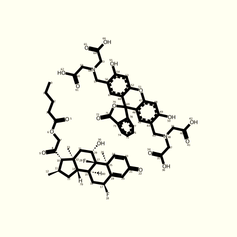 CCCCC(=O)OCC(=O)[C@H]1[C@H](C)C[C@H]2[C@@H]3C[C@H](F)C4=CC(=O)C=C[C@]4(C)[C@@]3(F)[C@@H](O)C[C@@]21C.O=C(O)CN(CC(=O)O)Cc1cc2c(cc1O)Oc1cc(O)c(CN(CC(=O)O)CC(=O)O)cc1C21OC(=O)c2ccccc21